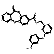 COc1cccc(Oc2cccc(CNC(=O)c3ccc4c(c3)NC(=O)c3ccccc3O4)c2)c1